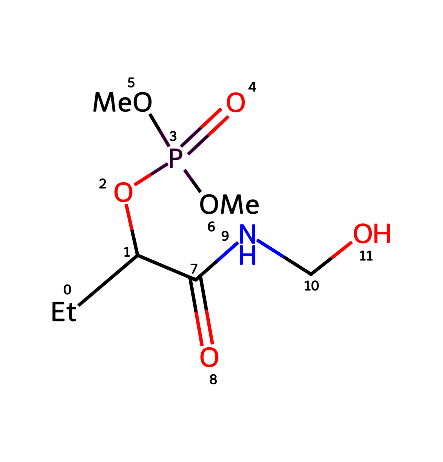 CCC(OP(=O)(OC)OC)C(=O)NCO